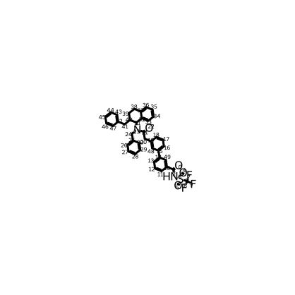 O=C(NS(=O)(=O)C(F)(F)F)c1cccc(-c2cccc(CC(=O)N(Cc3ccccc3)C3c4ccccc4CCC3Cc3ccccc3)c2)c1